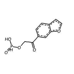 O=C(CO[PH](=O)O)c1ccc2ccoc2c1